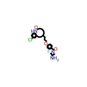 NC1CN(C(=O)c2ccc(OCCCC3CCCCC(=O)Nc4ccc(Cl)cc4CC3)cc2F)C1